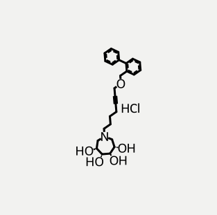 Cl.O[C@H]1[C@H](O)[C@@H](O)CN(CCCCC#CCOCc2ccccc2-c2ccccc2)C[C@@H]1O